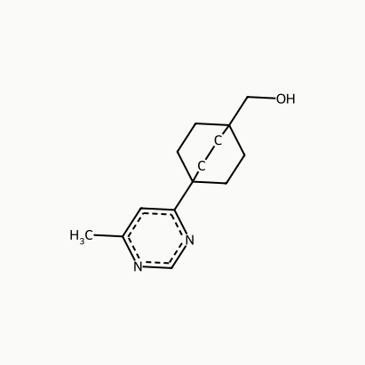 Cc1cc(C23CCC(CO)(CC2)CC3)ncn1